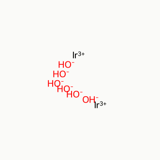 [Ir+3].[Ir+3].[OH-].[OH-].[OH-].[OH-].[OH-].[OH-]